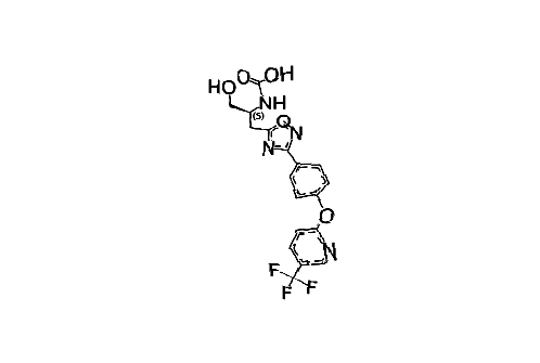 O=C(O)N[C@H](CO)Cc1nc(-c2ccc(Oc3ccc(C(F)(F)F)cn3)cc2)no1